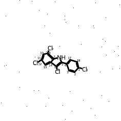 Clc1ccc(-c2[nH]c3c(Cl)cc(Cl)cc3c2Cl)cc1